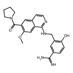 COc1cc2c(NCc3cc(C(=N)N)ccc3O)nccc2cc1C(=O)N1CCCC1